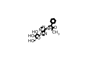 CCC(=O)C(CNc1ncnc2c1ncn2[C@@H]1O[C@H](CO)[C@@H](O)[C@H]1O)c1ccccc1